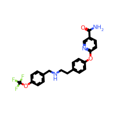 NC(=O)c1ccc(Oc2ccc(CCNCc3ccc(OC(F)(F)F)cc3)cc2)nc1